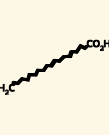 C=CCCCCCCCCC=CCCC=CCCCC(=O)O